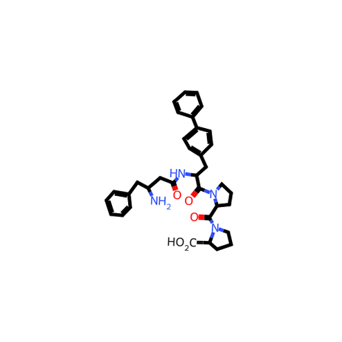 NC(CC(=O)NC(Cc1ccc(-c2ccccc2)cc1)C(=O)N1CCCC1C(=O)N1CCCC1C(=O)O)Cc1ccccc1